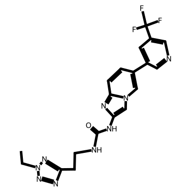 CCn1nnc(CCNC(=O)Nc2cn3cc(-c4cncc(C(F)(F)F)c4)ccc3n2)n1